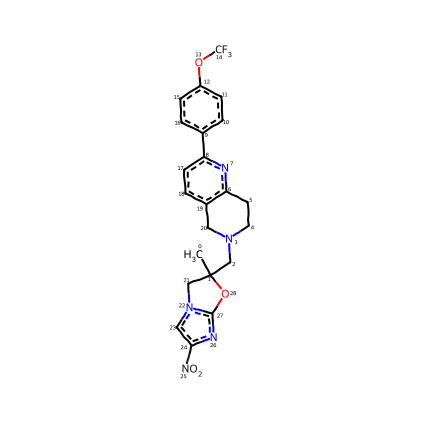 CC1(CN2CCc3nc(-c4ccc(OC(F)(F)F)cc4)ccc3C2)Cn2cc([N+](=O)[O-])nc2O1